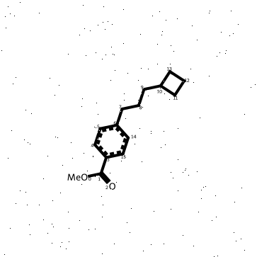 COC(=O)c1ccc(CCCC2CCC2)cc1